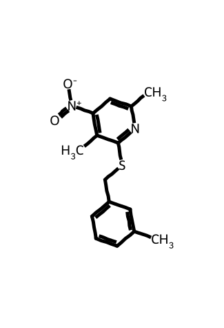 Cc1cccc(CSc2nc(C)cc([N+](=O)[O-])c2C)c1